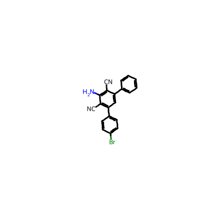 N#Cc1c(-c2ccccc2)cc(-c2ccc(Br)cc2)c(C#N)c1N